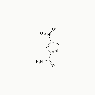 NC(=O)c1csc([N+](=O)[O-])c1